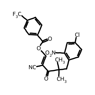 CC(C)(Cc1ccc(Cl)cc1[N+](=O)[O-])C(=O)C(C#N)=COC(=O)c1ccc(C(F)(F)F)cc1